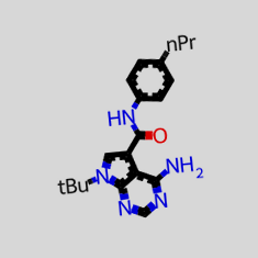 CCCc1ccc(NC(=O)c2cn(C(C)(C)C)c3ncnc(N)c23)cc1